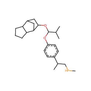 CPCC(C)c1ccc(OC(OC2CC3CC2C2CCCC32)C(C)C)cc1